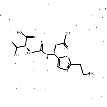 CC(O)[C@H](NC(=O)N[C@@H](CC(N)=O)c1nnc(CCN)o1)C(=O)O